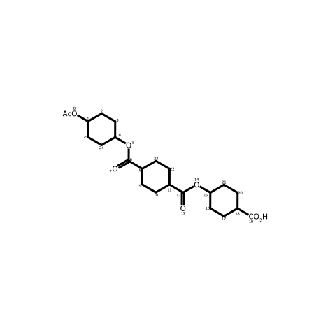 CC(=O)OC1CCC(OC(=O)C2CCC(C(=O)OC3CCC(C(=O)O)CC3)CC2)CC1